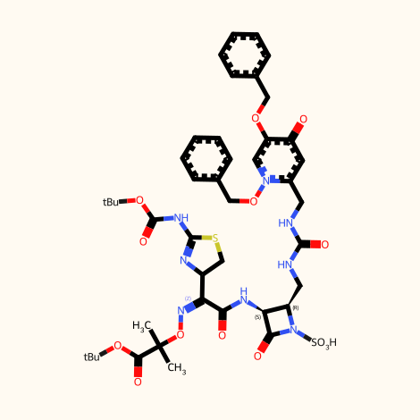 CC(C)(C)OC(=O)NC1=NC(/C(=N/OC(C)(C)C(=O)OC(C)(C)C)C(=O)N[C@@H]2C(=O)N(S(=O)(=O)O)[C@@H]2CNC(=O)NCc2cc(=O)c(OCc3ccccc3)cn2OCc2ccccc2)CS1